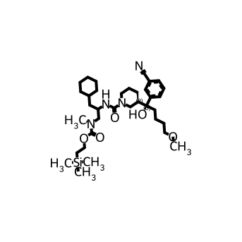 COCCCC[C@@](O)(c1cccc(C#N)c1)[C@@H]1CCCN(C(=O)NC(CC2CCCCC2)CN(C)C(=O)OCC[Si](C)(C)C)C1